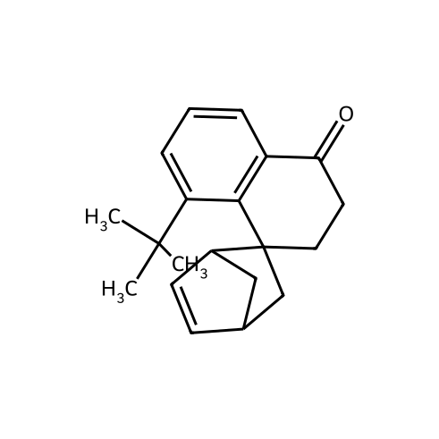 CC(C)(C)c1cccc2c1C1(CCC2=O)CC2C=CC1C2